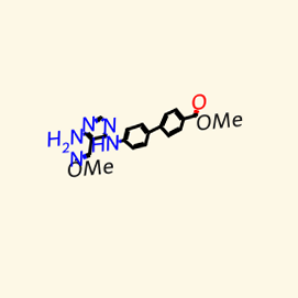 CON=Cc1c(N)ncnc1Nc1ccc(-c2ccc(C(=O)OC)cc2)cc1